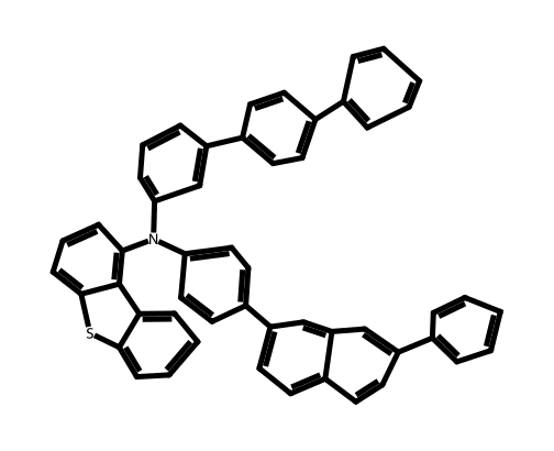 c1ccc(-c2ccc(-c3cccc(N(c4ccc(-c5ccc6ccc(-c7ccccc7)cc6c5)cc4)c4cccc5sc6ccccc6c45)c3)cc2)cc1